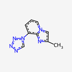 Cc1cn2cccc(-n3cnnn3)c2n1